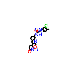 Cc1ccc(NCC(=O)NCc2ccc3cc(C4CCC(=O)NC4=O)c(C)nc3c2)cc1Cl